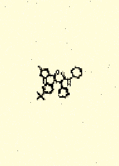 CC1CNC(C(=O)N(c2ccc(C(C)(C)C)cc2)C(C(=O)NC2CCCCC2)c2cccnc2)C1